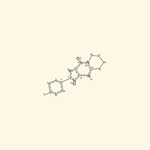 Cc1ccc(-c2nc3c(=O)n4c(nc3[nH]2)CCCC4)cc1